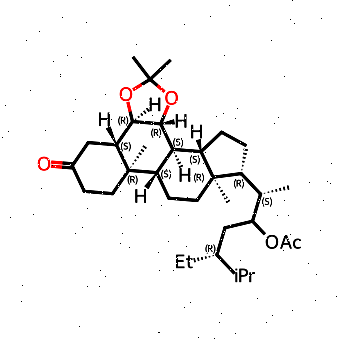 CC[C@H](CC(OC(C)=O)[C@@H](C)[C@H]1CC[C@H]2[C@@H]3[C@H]4OC(C)(C)O[C@@H]4[C@H]4CC(=O)CC[C@]4(C)[C@H]3CC[C@]12C)C(C)C